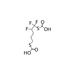 O=C(O)SCCCC(F)C(F)(F)SC(=O)O